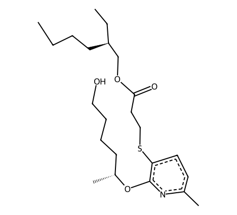 CCCC[C@@H](CC)COC(=O)CCSc1ccc(C)nc1O[C@H](C)CCCCO